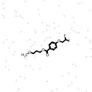 COCCCOC(=O)c1ccc(OCC(F)F)cc1